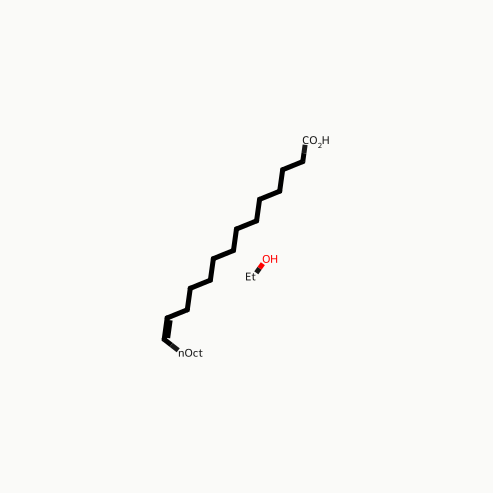 CCCCCCCC/C=C\CCCCCCCCCCCC(=O)O.CCO